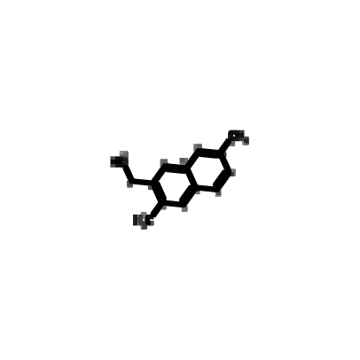 Cc1ccc2cc(C)c(CO)cc2c1